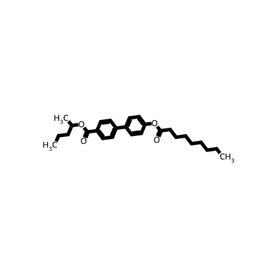 CCCCCCCCC(=O)Oc1ccc(-c2ccc(C(=O)OC(C)CCC)cc2)cc1